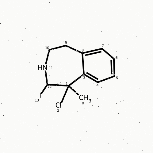 CC1(Cl)c2ccccc2CCNC1I